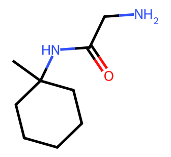 CC1(NC(=O)CN)CCCCC1